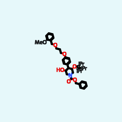 COc1ccccc1COCCCOc1ccc(C2C(O)CN(C(=O)OCc3ccccc3)CC2O[Si](C(C)C)(C(C)C)C(C)C)cc1